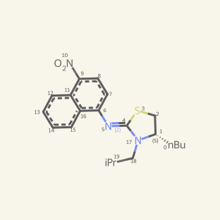 CCCC[C@H]1CS/C(=N\c2ccc([N+](=O)[O-])c3ccccc23)N1CC(C)C